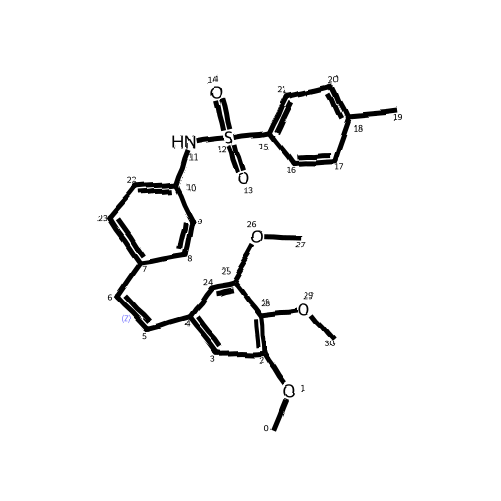 COc1cc(/C=C\c2ccc(NS(=O)(=O)c3ccc(C)cc3)cc2)cc(OC)c1OC